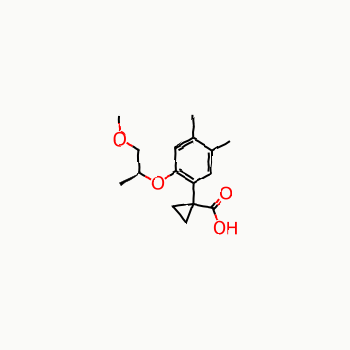 COC[C@H](C)Oc1cc(C)c(C)cc1C1(C(=O)O)CC1